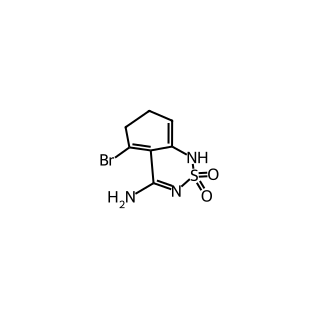 NC1=NS(=O)(=O)NC2=CCCC(Br)=C21